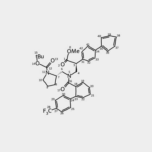 COC(=O)[C@H](CN(C[C@@H]1CCCN1C(=O)OC(C)(C)C)C(=O)c1ccccc1-c1ccc(C(F)(F)F)cc1)c1ccc(-c2ccccc2)cc1